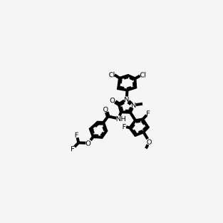 COc1cc(F)c(-c2c(NC(=O)c3ccc(OC(F)F)cc3)c(=O)n(-c3cc(Cl)cc(Cl)c3)n2C)c(F)c1